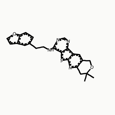 CC1(C)Cc2nc3sc4c(NCCc5ccc6occc6c5)ncnc4c3cc2CO1